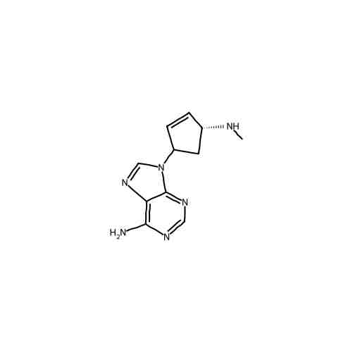 CN[C@H]1C=CC(n2cnc3c(N)ncnc32)C1